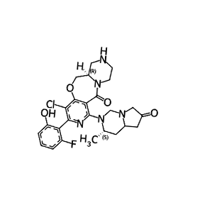 C[C@H]1CC2CC(=O)CN2CN1c1nc(-c2c(O)cccc2F)c(Cl)c2c1C(=O)N1CCNC[C@@H]1CO2